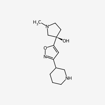 CN1CC[C@](O)(c2cc(C3CCCNC3)no2)C1